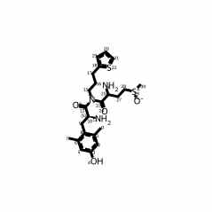 Cc1cc(O)cc(C)c1C[C@H](N)C(=O)N(CCCc1cccs1)C(=O)C(N)CC[S+](C)[O-]